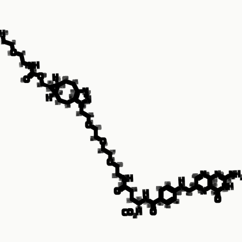 [3H]CCOCCNC(=O)OC[C@@H]1[C@@H]2CCc3c(nnn3CCOCCOCCOCCNC(=O)CC[C@H](NC(=O)c3ccc(NCc4cnc5nc(N)[nH]c(=O)c5n4)cc3)C(=O)O)CC[C@@H]21